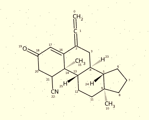 C=C=C1C[C@H]2[C@@H]3CCC[C@@]3(C)CC[C@@H]2[C@]2(C)C1=CC(=O)CC2C#N